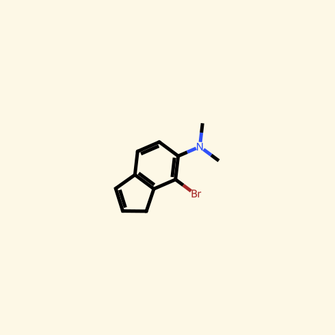 CN(C)c1ccc2c(c1Br)CC=C2